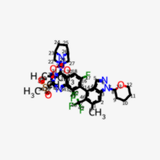 Cc1cc2c(cnn2C2CCCCO2)c(-c2c(F)cc3c(N4CC5CCC(C4)N5C(=O)OC(C)(C)C)nc(S(C)(=O)=O)nc3c2F)c1C(F)(F)F